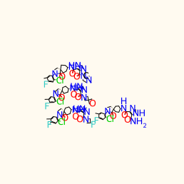 Cc1cc(N2CC[C@]3(CC[C@@H](NC(=O)c4[nH]cnc4C(=O)N4CC(F)C4)CC3)C2=O)c(Cl)cc1F.Cc1cc(N2CC[C@]3(CC[C@@H](NC(=O)c4[nH]cnc4C(=O)N4CC5(COC5)C4)CC3)C2=O)c(Cl)cc1F.Cc1cc(N2CC[C@]3(CC[C@@H](NC(=O)c4[nH]cnc4C(=O)N4CCN(C)CC4)CC3)C2=O)c(Cl)cc1F.Cc1cc(N2CC[C@]3(CC[C@@H](NC(=O)c4nc[nH]c4C(N)=O)CC3)C2=O)c(Cl)cc1F